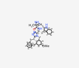 COc1cc(Cn2c(CCc3ccccc3)nnc2[C@@H](Cc2c[nH]c3ccccc23)NC(=O)C(C)(C)N)cc(OC)c1